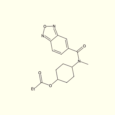 CCC(=O)OC1CCC(N(C)C(=O)c2ccc3nonc3c2)CC1